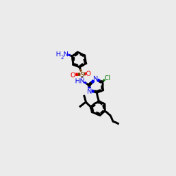 CCCc1ccc(C(C)C)c(-c2cc(Cl)nc(NS(=O)(=O)c3cccc(N)c3)n2)c1